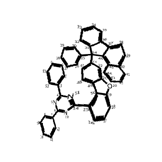 c1ccc(-c2nc(-c3ccccc3)nc(-c3cccc4oc5cc(C6(c7ccccc7)c7ccccc7-c7ccc8ccccc8c76)ccc5c34)n2)cc1